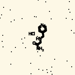 Cl.NC(=O)CNCc1ccncc1